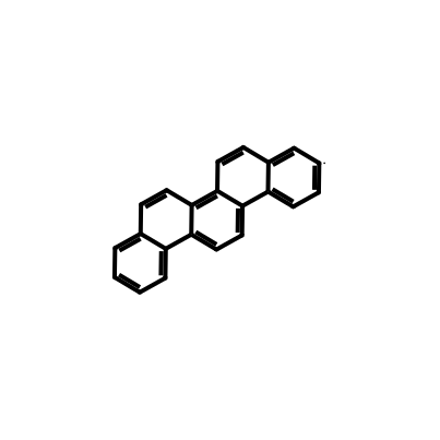 [c]1ccc2c(c1)ccc1c2ccc2c3ccccc3ccc21